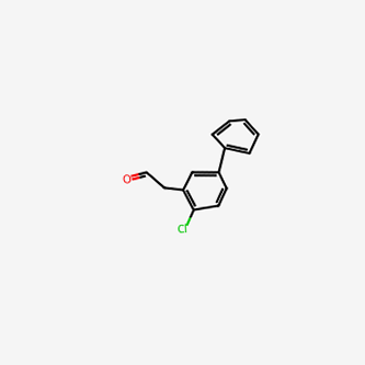 O=CCc1cc(-c2ccccc2)ccc1Cl